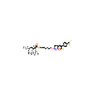 CC(C)CC(C)C(C)(C)C(=O)SCCCCCCCOc1ccc2cc(-c3ccc(C(F)(F)F)cc3)c(=S)oc2n1